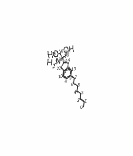 CCCCCCCCc1ccc2c(c1)C[C@@H](C(N)(CO)CO)C2